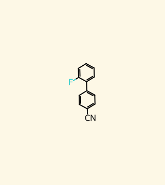 N#Cc1ccc(-c2ccccc2F)cc1